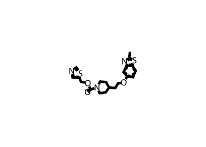 Cc1nc2cc(OCCC3CCN(C(=O)OCc4cncs4)CC3)ccc2s1